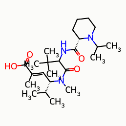 C/C(=C\[C@@H](C(C)C)N(C)C(=O)C(NC(=O)[C@@H]1CCCCN1C(C)C)C(C)(C)C)C(=O)O